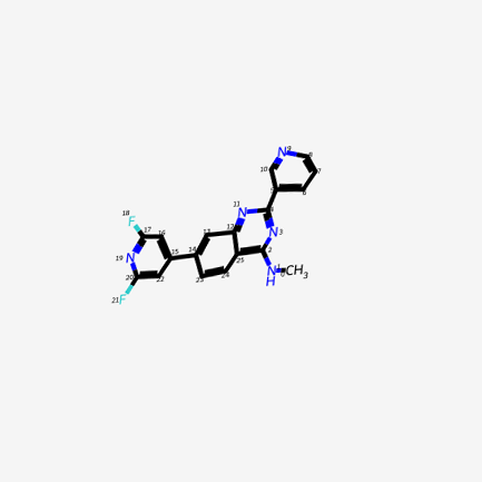 CNc1nc(-c2cccnc2)nc2cc(-c3cc(F)nc(F)c3)ccc12